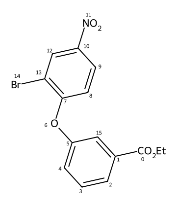 CCOC(=O)c1cccc(Oc2ccc([N+](=O)[O-])cc2Br)c1